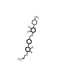 C=CCOc1ccc(-c2ccc(COc3ccc(C4CCC(C)CC4)c(F)c3F)cc2)c(F)c1F